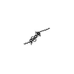 CCCCCCCCCCc1cnc(-c2ccc(C(=O)Oc3ccc(CCCCCC)c(F)c3)cc2)nc1